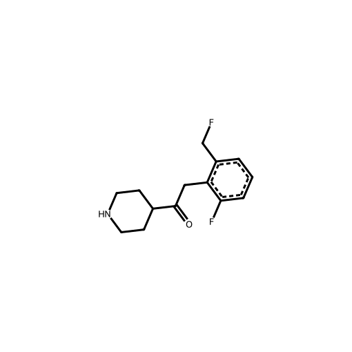 O=C(Cc1c(F)cccc1CF)C1CCNCC1